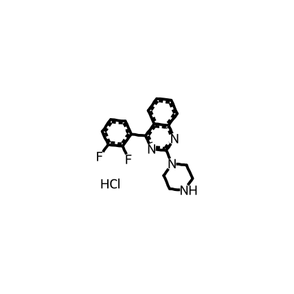 Cl.Fc1cccc(-c2nc(N3CCNCC3)nc3ccccc23)c1F